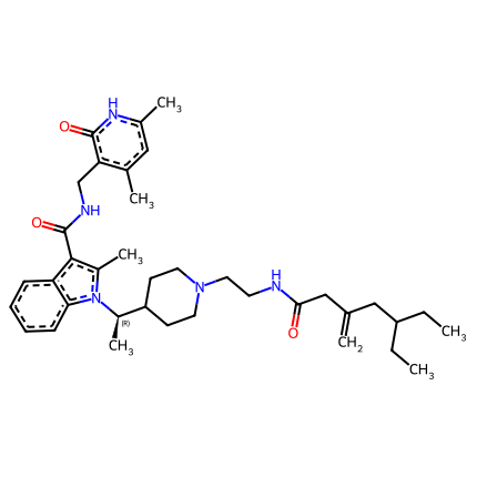 C=C(CC(=O)NCCN1CCC([C@@H](C)n2c(C)c(C(=O)NCc3c(C)cc(C)[nH]c3=O)c3ccccc32)CC1)CC(CC)CC